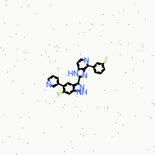 Fc1cccc(-c2nccc3[nH]c(-c4n[nH]c5cc(F)c(-c6cccnc6)cc45)nc23)c1